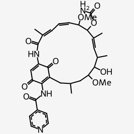 COC1/C=C\C=C(/C)C(=O)NC2=CC(=O)C(NC(=O)c3ccncc3)=C(CC(C)CC(OC)C(O)C(C)/C=C(\C)C1OC(N)=O)C2=O